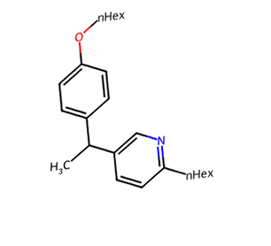 CCCCCCOc1ccc(C(C)c2ccc(CCCCCC)nc2)cc1